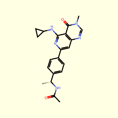 CC(=O)N[C@H](C)c1ccc(-c2cc3ncn(C)c(=O)c3c(NC3CC3)n2)cc1